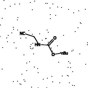 CCCCOC(=O)NCC#N